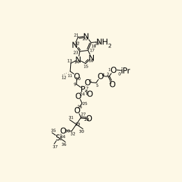 CC(C)OC(=O)OCOP(=O)(CO[C@H](C)Cn1cnc2c(N)ncnc21)OCOC(=O)C(C)(C)CO[Si](C)(C)C